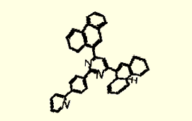 C1=CC2C(c3cc(-c4cc5ccccc5c5c4CCC=C5)nc(-c4ccc(-c5ccccn5)cc4)n3)=CC3=C(C=CCC3)[C@@H]2C=C1